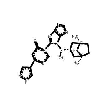 CN([C@H]1C[C@]2(C)CC[C@](C)(C1)N2)[SH]1C(n2cnc(-c3cn[nH]c3)cc2=O)=Nc2scnc21